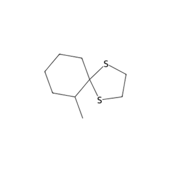 CC1CCCCC12SCCS2